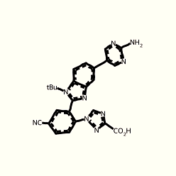 CC(C)(C)n1c(-c2cc(C#N)ccc2-n2cnc(C(=O)O)n2)nc2cc(-c3cnc(N)nc3)ccc21